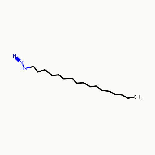 CCCCCCCCCCCCCCCCCN[N+]#N